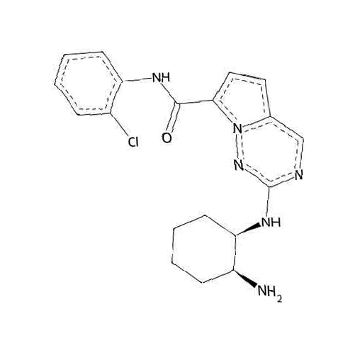 N[C@H]1CCCC[C@H]1Nc1ncc2ccc(C(=O)Nc3ccccc3Cl)n2n1